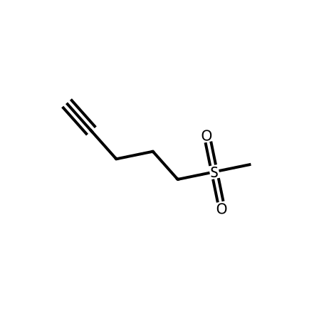 C#CCCCS(C)(=O)=O